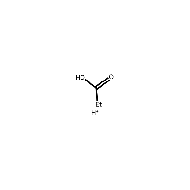 CCC(=O)O.[H+]